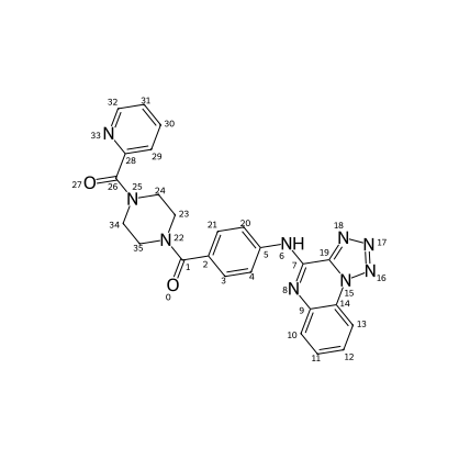 O=C(c1ccc(Nc2nc3ccccc3n3nnnc23)cc1)N1CCN(C(=O)c2ccccn2)CC1